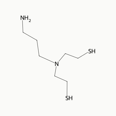 NCCCN(CCS)CCS